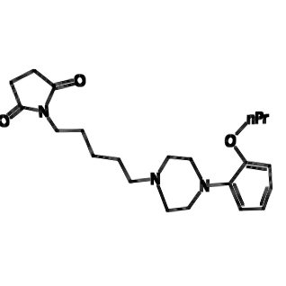 CCCOc1ccccc1N1CCN(CCCCCN2C(=O)CCC2=O)CC1